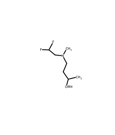 COC(C)CCN(C)CC(F)F